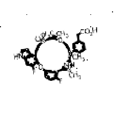 Cn1nc2nc1-c1cc(ccc1F)Oc1c(F)cc3[nH]ccc3c1CCS(=O)(=O)CC(C)(C)OCCC2(C)c1cccc(CC(=O)O)c1